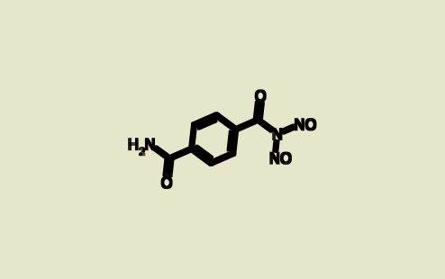 NC(=O)c1ccc(C(=O)N(N=O)N=O)cc1